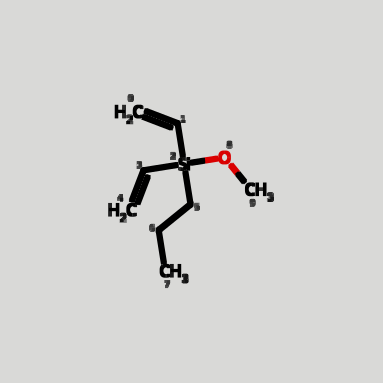 C=C[Si](C=C)(CCC)OC